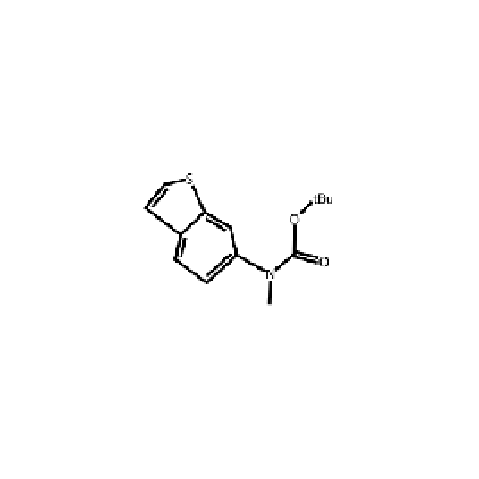 CN(C(=O)OC(C)(C)C)c1ccc2ccsc2c1